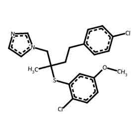 COc1ccc(Cl)c(SC(C)(CCc2ccc(Cl)cc2)Cn2ccnc2)c1